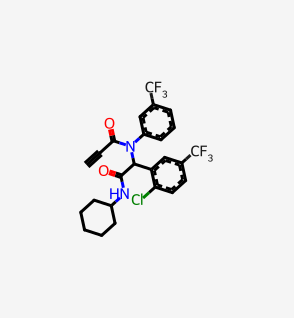 C#CC(=O)N(c1cccc(C(F)(F)F)c1)C(C(=O)NC1CCCCC1)c1cc(C(F)(F)F)ccc1Cl